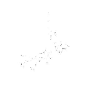 CCOC(=O)CCCCCn1cc(CCCn2c(COc3c(Cl)cc(C(=O)O[C@H]4[C@@H](OC)O[C@H](CO)[C@@H](O)[C@@H]4O)c(C)c3Cl)nc3ccccc32)nn1